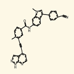 Cc1ccc(C(=O)Nc2ccc3c(-c4ccc(C#N)cc4)cn(C)c3c2)cc1C#Cc1ccnc2[nH]ncc12